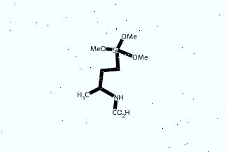 CO[Si](CCC(C)NC(=O)O)(OC)OC